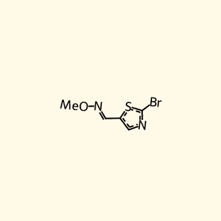 CON=Cc1cnc(Br)s1